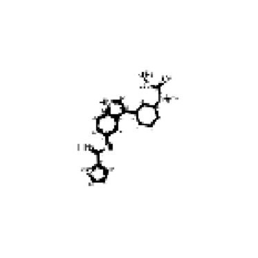 CCN(C(=O)OC(C)(C)C)C1CCCC(c2c[nH]c3ccc(NC(=N)c4cccs4)cc23)C1